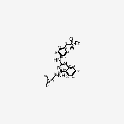 CCS(=O)(=O)Cc1ccc(Nc2nc(NCCN(C)C)c3ccccc3n2)cc1